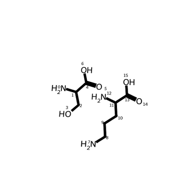 NC(CO)C(=O)O.NCCCC(N)C(=O)O